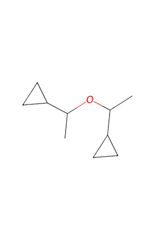 CC(OC(C)C1CC1)C1CC1